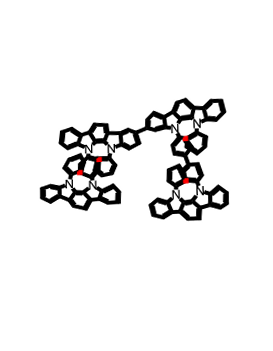 c1ccc(-n2c3ccccc3c3ccc4c5ccccc5n(-c5ccc(-c6ccc(-n7c8cc(-c9ccc%10c(c9)c9ccc%11c%12ccccc%12n(-c%12ccc(-n%13c%14ccccc%14c%14ccc%15c%16ccccc%16n(-c%16ccccc%16)c%15c%14%13)cc%12)c%11c9n%10-c9ccccc9)ccc8c8ccc9c%10ccccc%10n(-c%10ccccc%10)c9c87)cc6)cc5)c4c32)cc1